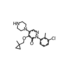 Cc1c(Cl)cccc1-n1ncc(N2CCNCC2)c(OCC2(C)CC2)c1=O